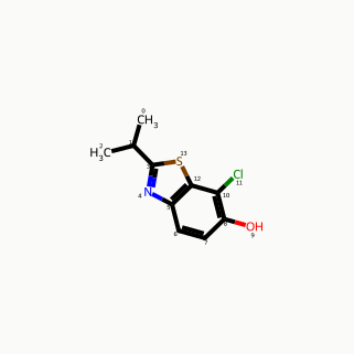 CC(C)c1nc2ccc(O)c(Cl)c2s1